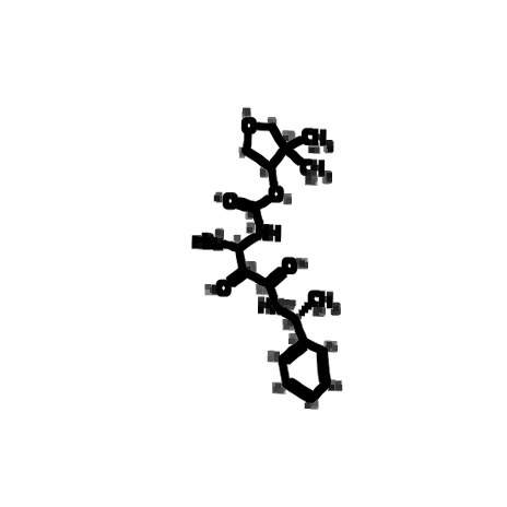 CCCCC(NC(=O)OC1COCC1(C)C)C(=O)C(=O)N[C@H](C)c1ccccc1